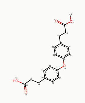 COC(=O)CCc1ccc(Oc2ccc(CCC(=O)O)cc2)cc1